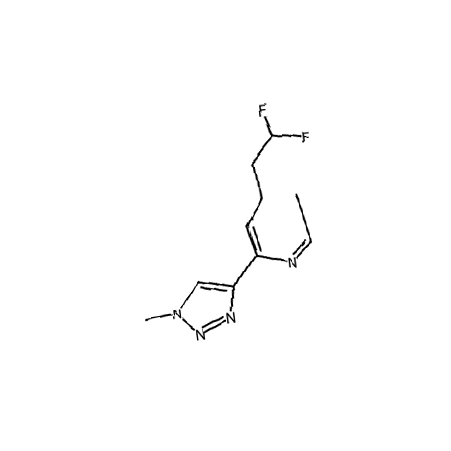 C/C=N\C(=C/CCC(F)F)c1cn(C)nn1